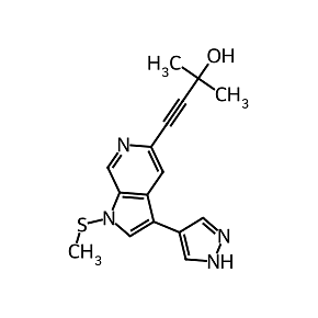 CSn1cc(-c2cn[nH]c2)c2cc(C#CC(C)(C)O)ncc21